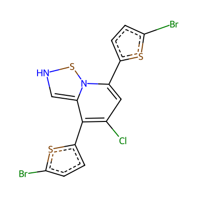 ClC1=C(c2ccc(Br)s2)C2=CNSN2C(c2ccc(Br)s2)=C1